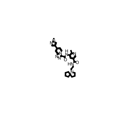 Cc1ncc(C(=O)NCCN2CCCC23CCCC3)cc1NC(=O)c1nnc2cc(-c3cnn(C)c3)ccn12